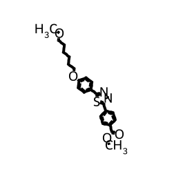 COCCCCCCOc1ccc(-c2nnc(-c3ccc(C(=O)OC)cc3)s2)cc1